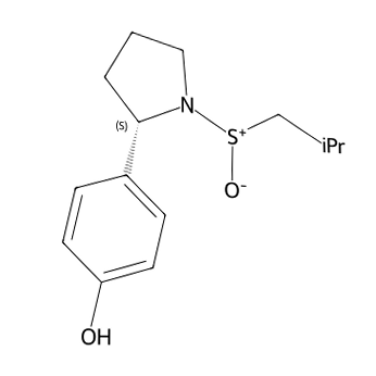 CC(C)C[S+]([O-])N1CCC[C@H]1c1ccc(O)cc1